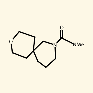 CNC(=O)N1CCCC2(CCOCC2)C1